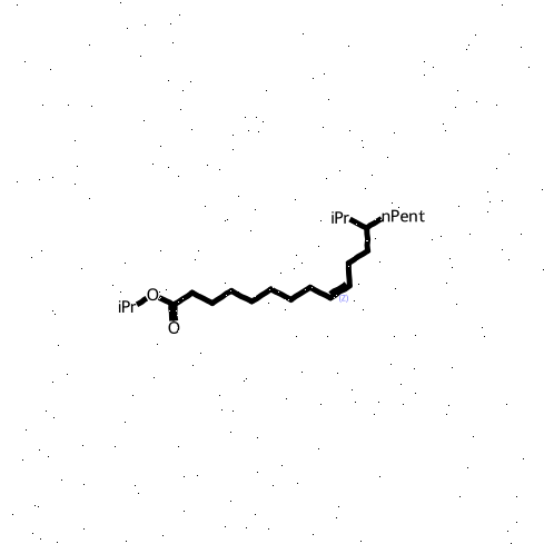 CCCCCC(CC/C=C\CCCCCCCC(=O)OC(C)C)C(C)C